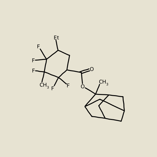 CCC1CC(C(=O)OC2(C)C3CC4CC(C3)CC2C4)C(F)(F)C(C)(F)C1(F)F